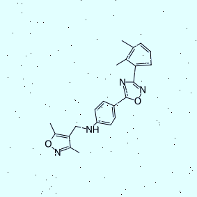 Cc1cccc(-c2noc(-c3ccc(NCc4c(C)noc4C)cc3)n2)c1C